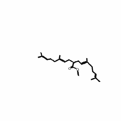 COC(=O)C(C/C=C(\C)CCC=C(C)C)C/C=C(\C)CCC=C(C)C